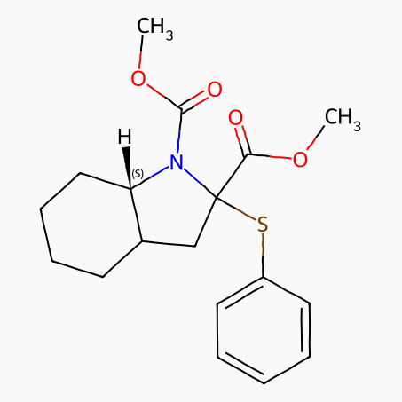 COC(=O)N1[C@H]2CCCCC2CC1(Sc1ccccc1)C(=O)OC